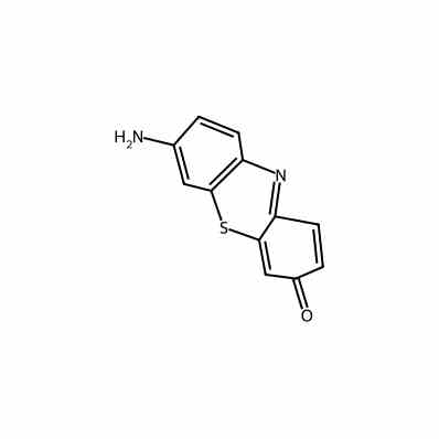 Nc1ccc2nc3ccc(=O)cc-3sc2c1